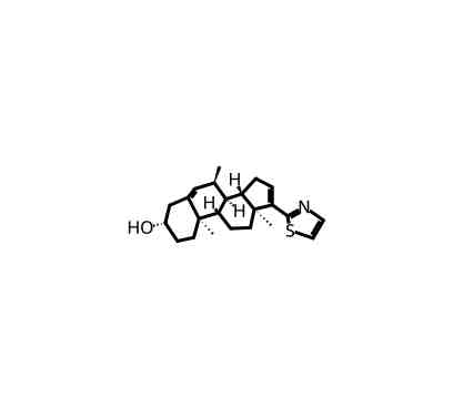 C[C@@H]1C=C2C[C@@H](O)CC[C@]2(C)[C@H]2CC[C@]3(C)C(c4nccs4)=CC[C@H]3[C@H]12